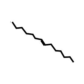 [CH2]CCCCC/C=C/CCCCCC